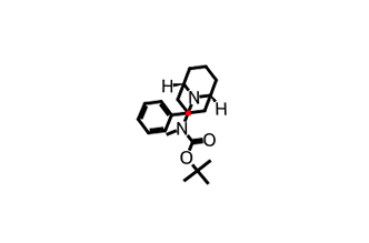 CN(C(=O)OC(C)(C)C)C1C[C@H]2CCC[C@@H](C1)N2Cc1ccccc1